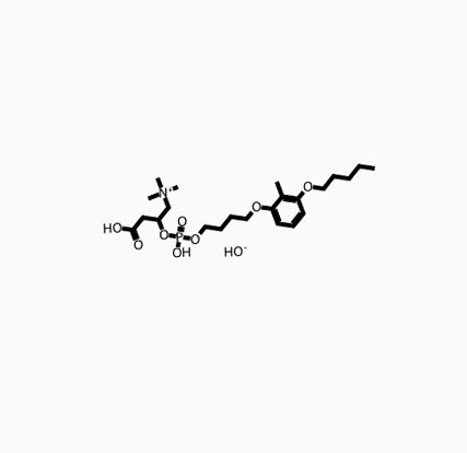 CCCCCOc1cccc(OCCCCOP(=O)(O)OC(CC(=O)O)C[N+](C)(C)C)c1C.[OH-]